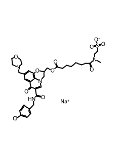 CN(CCS(=O)(=O)[O-])C(=O)CCCCCCC(=O)OCC1Cn2cc(C(=O)NCc3ccc(Cl)cc3)c(=O)c3cc(CN4CCOCC4)cc(c32)O1.[Na+]